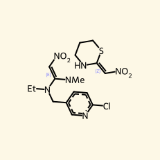 CCN(Cc1ccc(Cl)nc1)/C(=C/[N+](=O)[O-])NC.O=[N+]([O-])/C=C1/NCCCS1